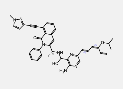 C=C/C(=C\C=C\c1cnc(N)c(C(O)N[C@H](C)c2cc3cccc(C#Cc4ccn(C)n4)c3c(=O)n2-c2ccccc2)n1)OC(C)C